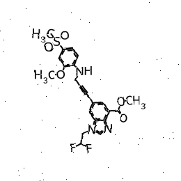 COC(=O)c1cc(C#CCNc2ccc(S(C)(=O)=O)cc2OC)cc2c1ncn2CC(F)F